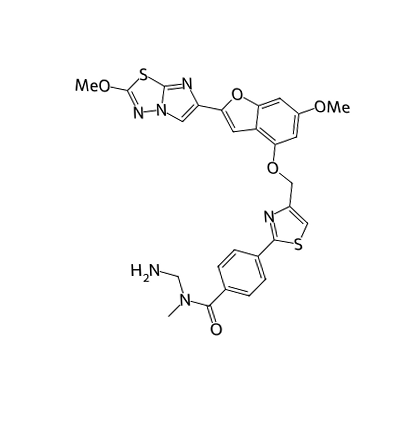 COc1cc(OCc2csc(-c3ccc(C(=O)N(C)CN)cc3)n2)c2cc(-c3cn4nc(OC)sc4n3)oc2c1